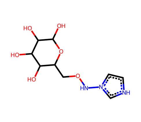 OC1OC(CON[n+]2cc[nH]c2)C(O)C(O)C1O